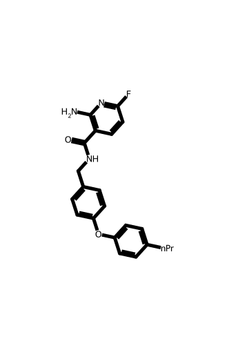 CCCc1ccc(Oc2ccc(CNC(=O)c3ccc(F)nc3N)cc2)cc1